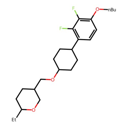 CCCCOc1ccc(C2CCC(OCC3CCC(CC)OC3)CC2)c(F)c1F